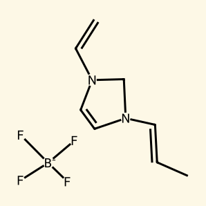 C=CN1C=CN(C=CC)C1.F[B-](F)(F)F